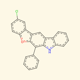 Clc1ccc2oc3c(-c4ccccc4)c4[nH]c5ccccc5c4cc3c2c1